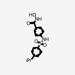 CC(C)c1ccc(S(=O)(=O)Nc2ccc(C(=O)NO)cc2)cc1